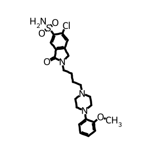 COc1ccccc1N1CCN(CCCCN2Cc3cc(Cl)c(S(N)(=O)=O)cc3C2=O)CC1